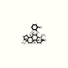 CC1C(Oc2ccccc2Cl)C2N(C)C(=O)CC[C@]2(C)[C@@H]2CC[C@]3(C)CCC[C@H]3[C@H]12